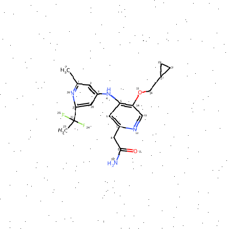 Cc1cc(Nc2cc(CC(N)=O)ncc2OCC2CC2)cc(C(C)(F)F)n1